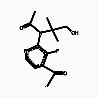 [CH2]C(=O)c1ccnc(N(C(C)=O)C(C)(C)CO)c1F